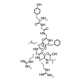 CSCC[C@H](NC(=O)[C@H](Cc1ccccc1)NC(=O)CNC(=O)CNC(=O)[C@@H](N)Cc1ccc(O)cc1)C(=O)N[C@@H](CCCNC(=N)N)C(=O)N[C@@H](CCCNC(=N)N)C(=O)N[C@H](C(=O)O)C(C)C